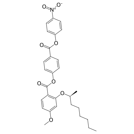 CCCCCC[C@H](C)Oc1cc(OC)ccc1C(=O)Oc1ccc(C(=O)Oc2ccc([N+](=O)[O-])cc2)cc1